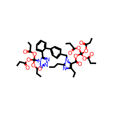 CCCc1nc(CC)c(C(=O)OC(OC(=O)CC)(OC(=O)CC)OC(=O)CC)n1Cc1ccc(-c2ccccc2-c2nnnn2C(OC(=O)CC)(OC(=O)CC)OC(=O)CC)cc1